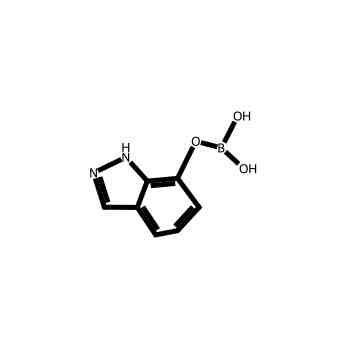 OB(O)Oc1cccc2cn[nH]c12